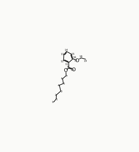 CCCCCCCCOC(=O)c1ccccc1OCC